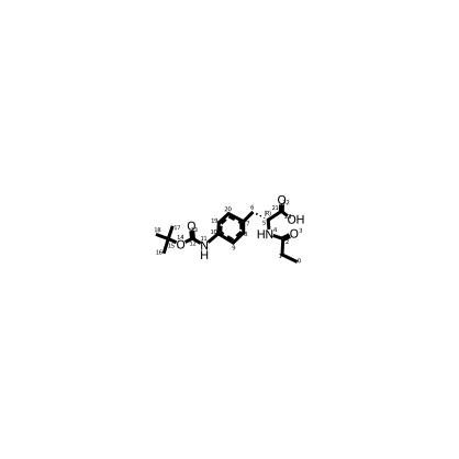 CCC(=O)N[C@H](Cc1ccc(NC(=O)OC(C)(C)C)cc1)C(=O)O